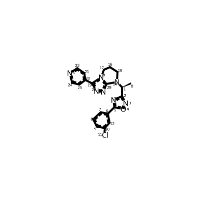 C[C@@H](c1noc(-c2cccc(Cl)c2)n1)N1CCCn2c(-c3ccncc3)nnc21